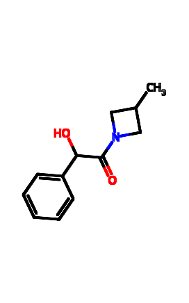 CC1CN(C(=O)C(O)c2ccccc2)C1